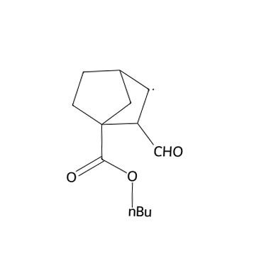 CCCCOC(=O)C12CCC([CH]C1C=O)C2